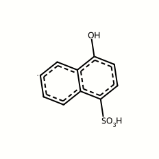 O=S(=O)(O)c1ccc(O)c2c[c]ccc12